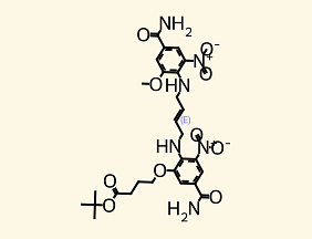 COc1cc(C(N)=O)cc([N+](=O)[O-])c1NC/C=C/CNc1c(OCCCC(=O)OC(C)(C)C)cc(C(N)=O)cc1[N+](=O)[O-]